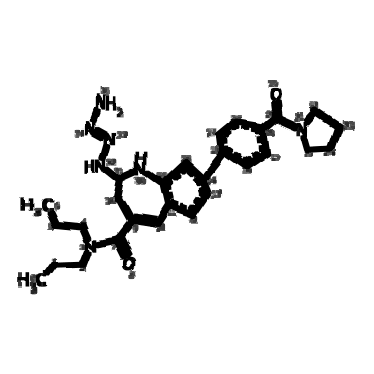 CCCN(CCC)C(=O)C1=Cc2ccc(-c3ccc(C(=O)N4CCCC4)cc3)cc2NC(NN=NN)C1